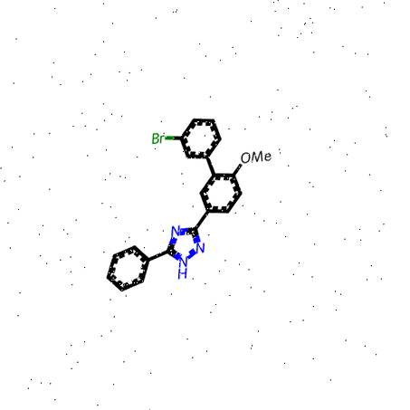 COc1ccc(-c2n[nH]c(-c3ccccc3)n2)cc1-c1cccc(Br)c1